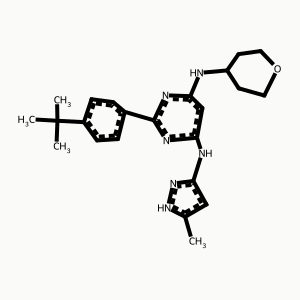 Cc1cc(Nc2cc(NC3CCOCC3)nc(-c3ccc(C(C)(C)C)cc3)n2)n[nH]1